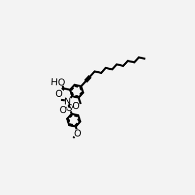 CCCCCCCCCCC#Cc1cc(C)c(N(C)S(=O)(=O)c2ccc(OC)cc2)c(C(=O)O)c1